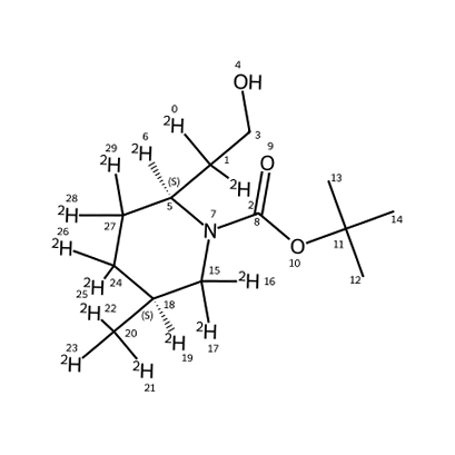 [2H]C([2H])(CO)[C@@]1([2H])N(C(=O)OC(C)(C)C)C([2H])([2H])[C@@]([2H])(C([2H])([2H])[2H])C([2H])([2H])C1([2H])[2H]